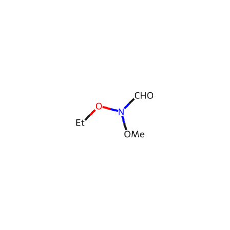 CCON(C=O)OC